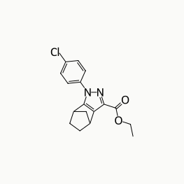 CCOC(=O)c1nn(-c2ccc(Cl)cc2)c2c1C1CCC2C1